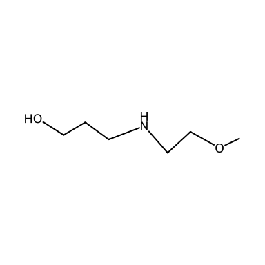 COCCNCCCO